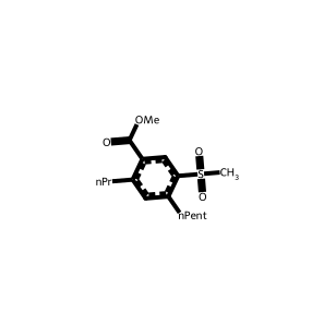 CCCCCc1cc(CCC)c(C(=O)OC)cc1S(C)(=O)=O